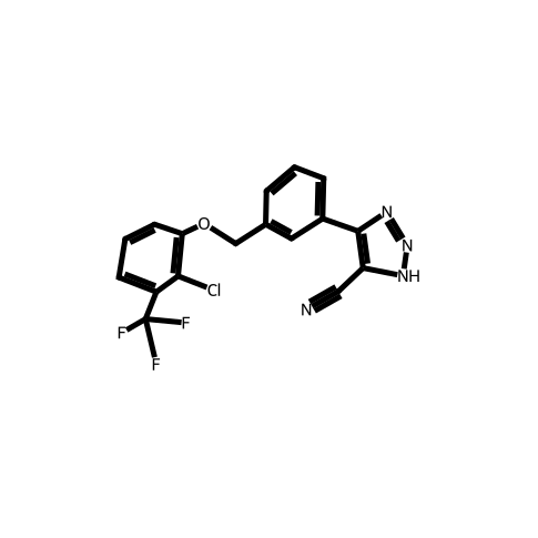 N#Cc1[nH]nnc1-c1cccc(COc2cccc(C(F)(F)F)c2Cl)c1